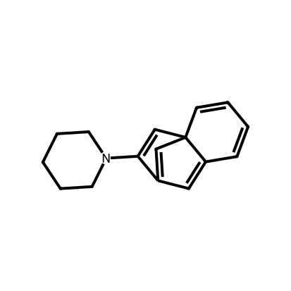 C1=CC2=CC3=CC2(C=C1)C=C3N1CCCCC1